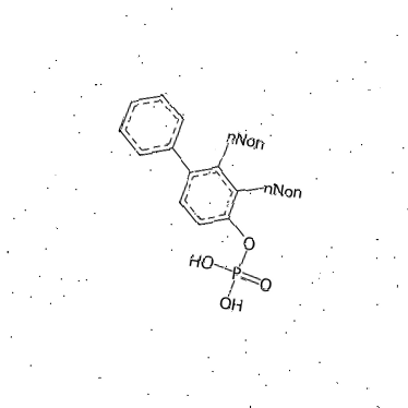 CCCCCCCCCc1c(OP(=O)(O)O)ccc(-c2ccccc2)c1CCCCCCCCC